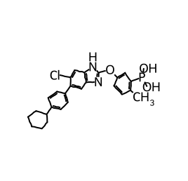 Cc1ccc(Oc2nc3cc(-c4ccc(C5CCCCC5)cc4)c(Cl)cc3[nH]2)cc1P(O)O